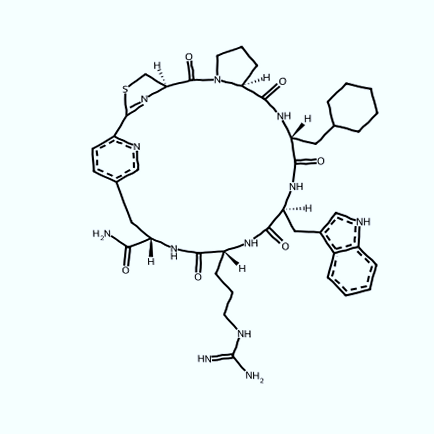 N=C(N)NCCC[C@H]1NC(=O)[C@H](Cc2c[nH]c3ccccc23)NC(=O)[C@@H](CC2CCCCC2)NC(=O)[C@@H]2CCCN2C(=O)[C@@H]2CSC(=N2)c2ccc(cn2)C[C@@H](C(N)=O)NC1=O